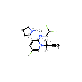 C#CC(C)(CC)N1C=C(F)C=C([C@@H]2CCCN2C)C1NCC(F)F